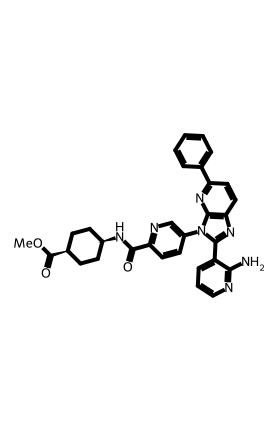 COC(=O)[C@H]1CC[C@@H](NC(=O)c2ccc(-n3c(-c4cccnc4N)nc4ccc(-c5ccccc5)nc43)cn2)CC1